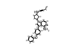 CCC#CNC1CCC(n2cc(-c3ccc(Oc4ccccc4)cc3)c3c(N)nccc32)C1